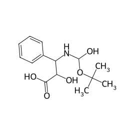 CC(C)(C)OC(O)NC(c1ccccc1)C(O)C(=O)O